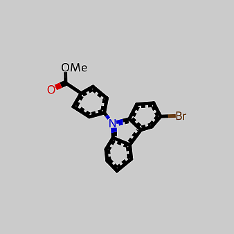 COC(=O)c1ccc(-n2c3ccccc3c3cc(Br)ccc32)cc1